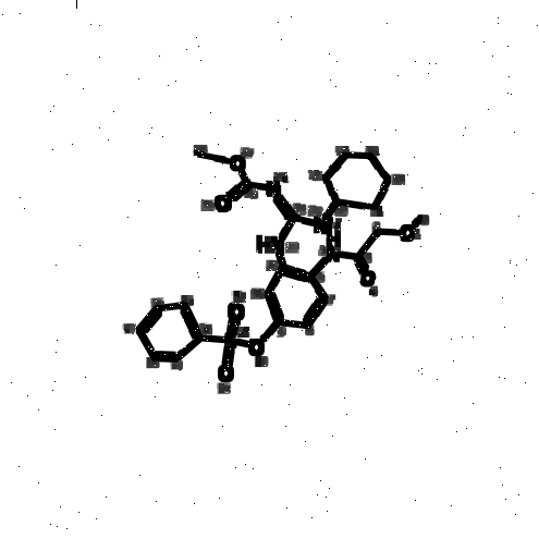 COCC(=O)Nc1ccc(OS(=O)(=O)c2ccccc2)cc1N/C(=N\C(=O)OC)NC1CCCCC1